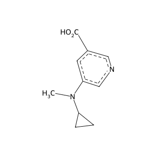 CN(c1cncc(C(=O)O)c1)C1CC1